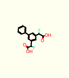 O=C(O)C(F)c1cc(-c2c[c]ccc2)cc(C(F)C(=O)O)c1